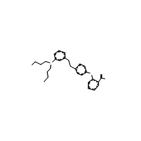 CCCCN(CCCC)c1cccc(CCc2ccc(Nc3ccccc3C(=O)O)cc2)c1.Cl